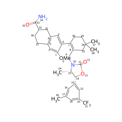 COc1cc2c(cc1C1=C(CN3C(=O)O[C@H](c4cc(C)cc(C(F)(F)F)c4)[C@@H]3C)CC(C)(C)CC1)CC(C(N)=O)CC2